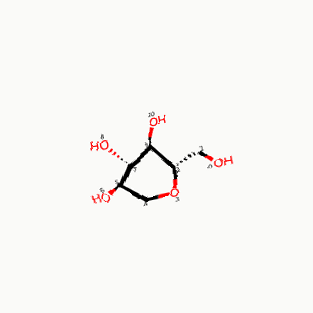 OC[C@@H]1O[CH][C@@H](O)[C@H](O)[C@H]1O